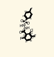 Cc1ccc(S(=O)(=O)NNC(=O)c2c(F)ccc(F)c2Cl)cc1